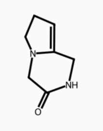 O=C1CN2CCC=C2CN1